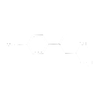 COc1ccc(C(=O)CC(N)C(=O)O)cc1